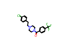 O=C(c1ccc(C(F)(F)F)cc1)N1CCN(CCc2ccc(Cl)cc2)CC1